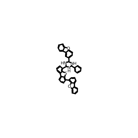 c1ccc(C2NC(c3ccc4oc5ccccc5c4c3)NC(c3cccc4c3sc3c(-c5cccc6c5oc5ccccc56)cccc34)N2)cc1